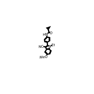 CCn1c(-c2ccc(NC(=O)C3CC3)cc2)c(C#N)c2cc(OC)ccc21